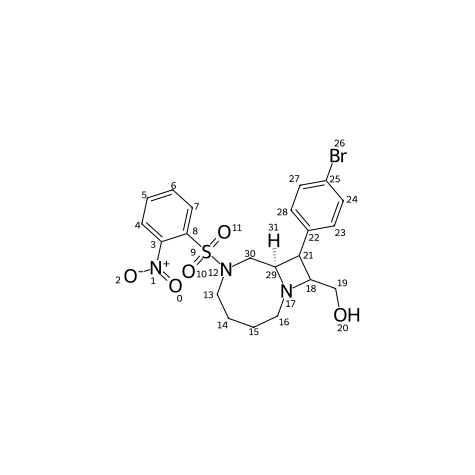 O=[N+]([O-])c1ccccc1S(=O)(=O)N1CCCCN2C(CO)C(c3ccc(Br)cc3)[C@@H]2C1